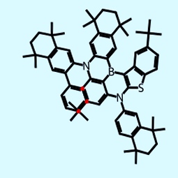 CC(C)(C)c1cc2c3c(c1)N(c1ccc4c(c1)C(C)(C)CCC4(C)C)c1sc4ccc(C(C)(C)C)cc4c1B3c1cc3c(cc1N2c1cc2c(cc1-c1ccccc1)C(C)(C)CCC2(C)C)C(C)(C)CCC3(C)C